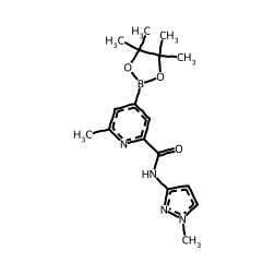 Cc1cc(B2OC(C)(C)C(C)(C)O2)cc(C(=O)Nc2ccn(C)n2)n1